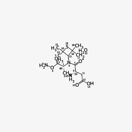 C[C@H](C(=O)ON)N(C(=O)[C@@H](N)CC(=O)O)C1C(C)(C)SC1(C)C.O